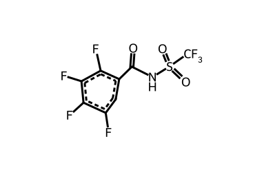 O=C(NS(=O)(=O)C(F)(F)F)c1cc(F)c(F)c(F)c1F